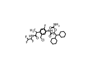 CC(C(=O)NC(F)C(F)F)c1cc(F)c(NC(=O)[C@@H](OC(N)=O)C(C2CCCCC2)C2CCCCC2)cc1CCl